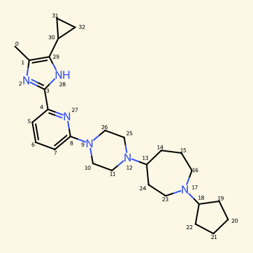 Cc1nc(-c2cccc(N3CCN(C4CCCN(C5CCCC5)CC4)CC3)n2)[nH]c1C1CC1